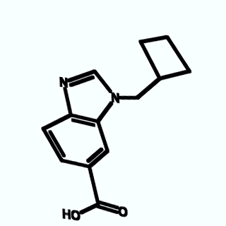 O=C(O)c1ccc2ncn(CC3CCC3)c2c1